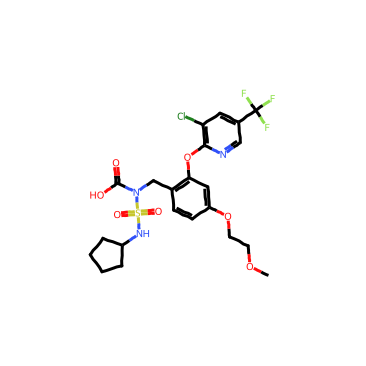 COCCOc1ccc(CN(C(=O)O)S(=O)(=O)NC2CCCC2)c(Oc2ncc(C(F)(F)F)cc2Cl)c1